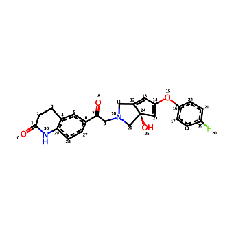 O=C1CCc2cc(C(=O)CN3CC4=CC(Oc5ccc(F)cc5)=C[C@]4(O)C3)ccc2N1